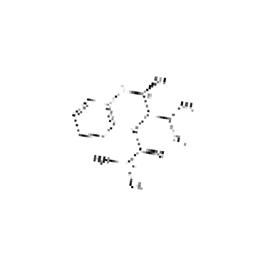 CC(C)C(OC(=O)[C@H](C)N)[C@H](C)Oc1ccccc1